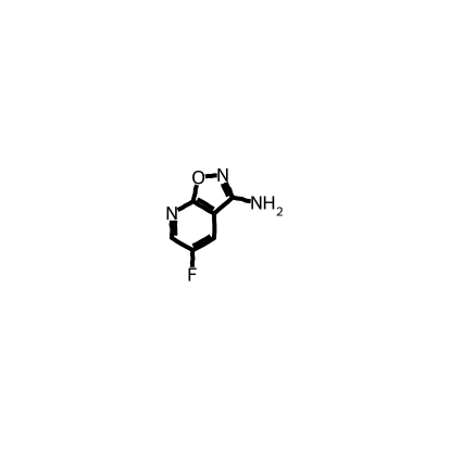 Nc1noc2ncc(F)cc12